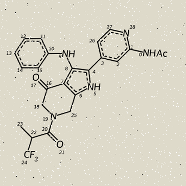 CC(=O)Nc1cc(-c2[nH]c3c(c2Nc2ccccc2)C(=O)CN(C(=O)C(C)C(F)(F)F)C3)ccn1